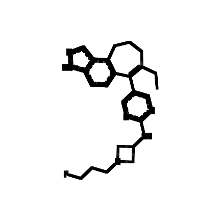 CCC1=C(c2cnc(NC3CN(CCCF)C3)nc2)c2ccc3[nH]ncc3c2CCC1